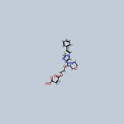 C1COCCN1.O=C(O)/C=C\C(=O)OCCOCc1cn2cc(-c3ccccc3)sc2n1